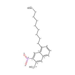 CCCCCCCCCCCCCCCCCCc1cccc2cc(C(=O)O)c(I(=O)=O)cc12